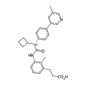 Cc1cncc(-c2ccc([C@H](C(=O)Nc3cccc(CCC(=O)O)c3C)C3CCC3)cc2)c1